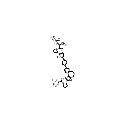 COC(=O)N[C@@H](C)C(=O)N1CCC[C@H]1c1ncc(-c2ccc(-c3ccc4c(c3)CCCc3[nH]c([C@@H]5CCCN5C(=O)[C@H](C)N)nc3-4)cc2)[nH]1